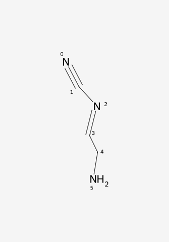 N#CN=CCN